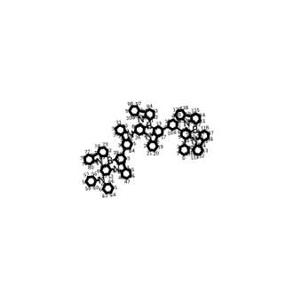 c1ccc(-c2cc(-c3cccc(-c4cc5c6c(c4)c4ccccc4n6-c4cc(-n6c7ccccc7c7cc(-c8cc9c%10c(c8)c8ccccc8n%10-c8cc(N(c%10ccccc%10)c%10ccccc%10)cc%10c8B9c8cccc9c%11ccccc%11n-%10c89)ccc76)cc6c4B5c4cccc5c7ccccc7n-6c45)c3)c3c4c2-n2c5ccccc5c5cccc(c52)B4c2cccc4c5ccccc5n-3c24)cc1